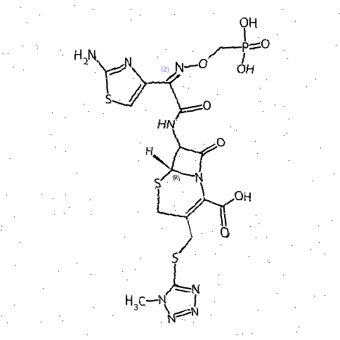 Cn1nnnc1SCC1=C(C(=O)O)N2C(=O)C(NC(=O)/C(=N\OCP(=O)(O)O)c3csc(N)n3)[C@H]2SC1